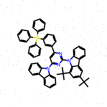 CC(C)(C)c1cc(C(C)(C)C)c2c(c1)c1ccccc1n2-c1nc(-c2cccc(S(c3ccccc3)(c3ccccc3)c3ccccc3)c2)cc(-n2c3ccccc3c3ccccc32)n1